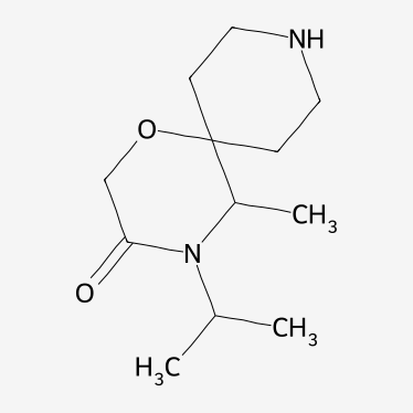 CC(C)N1C(=O)COC2(CCNCC2)C1C